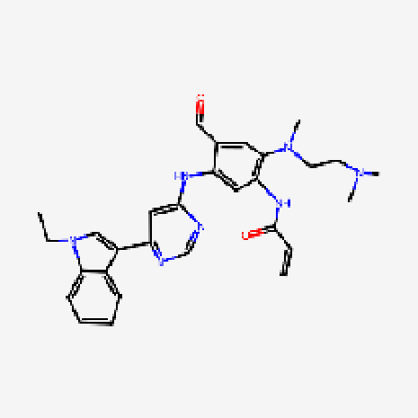 C=CC(=O)Nc1cc(Nc2cc(-c3cn(CC)c4ccccc34)ncn2)c(C=O)cc1N(C)CCN(C)C